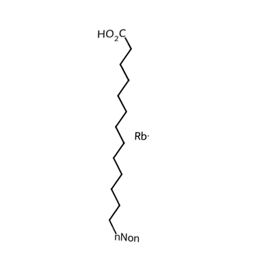 CCCCCCCCCCCCCCCCCCCCCC(=O)O.[Rb]